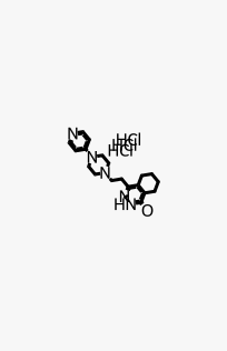 Cl.Cl.Cl.O=c1[nH]nc(CCN2CCN(c3ccncc3)CC2)c2c1CCCC2